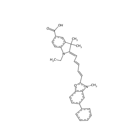 CCN1C(=CC=CC=Cc2oc3ccc(-c4ccccc4)cc3[n+]2C)C(C)(C)c2cc(C(=O)O)ccc21